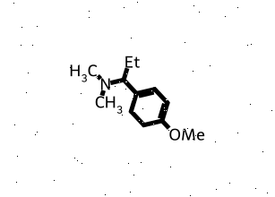 CCC(C1=CC=C(OC)CC1)N(C)C